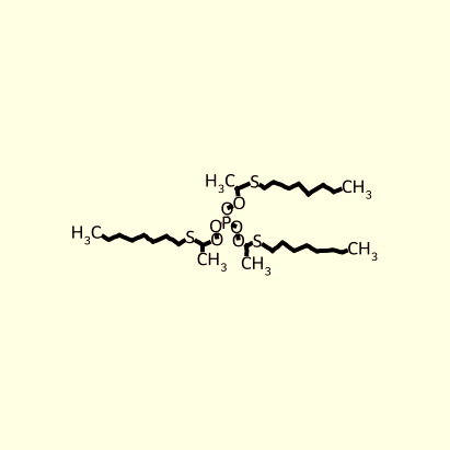 CCCCCCCCSC(C)OOP(OOC(C)SCCCCCCCC)OOC(C)SCCCCCCCC